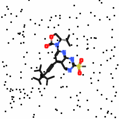 CC(C)[C@H]1COC(=O)N1c1cc(C#C[Si](C(C)C)(C(C)C)C(C)C)c2cnc(S(C)(=O)=O)nc2n1